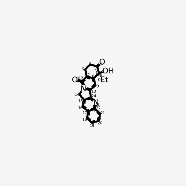 CC[C@@]1(O)C(=O)CCc2c1cc1n(c2=O)Cc2cc3ccccc3nc2-1